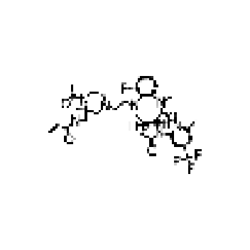 C=CC(=O)N1CC2(CN(CCN3C[C@H]4CC(=O)N(c5cc(C(F)(F)F)cc(C)n5)[C@@H]4C(=O)N(C)c4cccc(F)c43)CCN2C(C)=O)C1